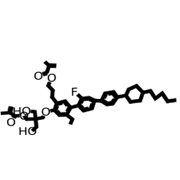 C=C(C)C(=O)OCCCc1cc(-c2ccc(-c3ccc(C4CCC(CCCCC)CC4)cc3)cc2F)c(CC)cc1OCC(CO)(CO)COC(=O)C(=C)C